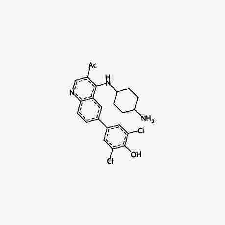 CC(=O)c1cnc2ccc(-c3cc(Cl)c(O)c(Cl)c3)cc2c1NC1CCC(N)CC1